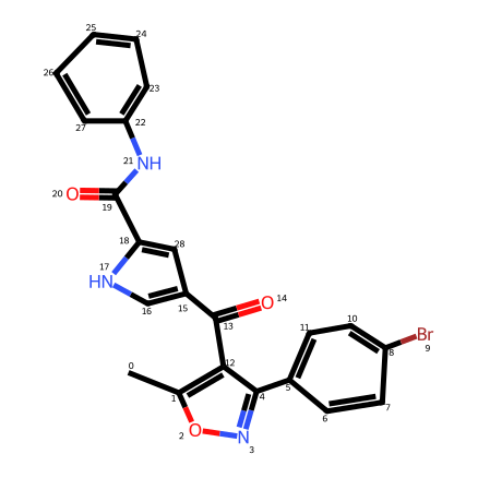 Cc1onc(-c2ccc(Br)cc2)c1C(=O)c1c[nH]c(C(=O)Nc2ccccc2)c1